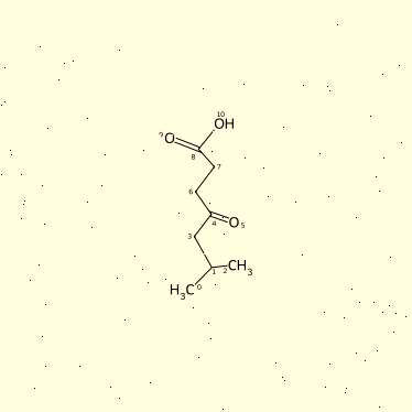 CC(C)CC(=O)CCC(=O)O